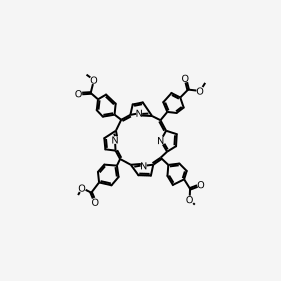 COC(=O)c1ccc(C2=C3C=CC(=N3)C(c3ccc(C(=O)OC)cc3)=C3C=CC(=N3)C(c3ccc(C(=O)OC)cc3)=C3C=CC(=N3)C(c3ccc(C(=O)OC)cc3)=C3C=CC2=N3)cc1